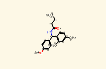 CCOc1ccc(C(NC(=O)CCC(=O)O)c2ccc(OC)cc2OC)cc1